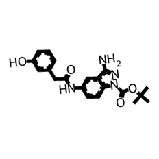 CC(C)(C)OC(=O)n1nc(N)c2cc(NC(=O)Cc3cccc(O)c3)ccc21